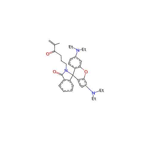 C=C(C)C(=O)CCCN1C(=O)c2ccccc2C12c1ccc(N(CC)CC)cc1Oc1cc(N(CC)CC)ccc12